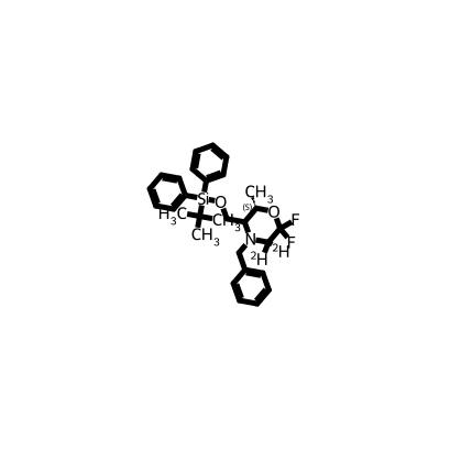 [2H]C1([2H])N(Cc2ccccc2)C(CO[Si](c2ccccc2)(c2ccccc2)C(C)(C)C)[C@H](C)OC1(F)F